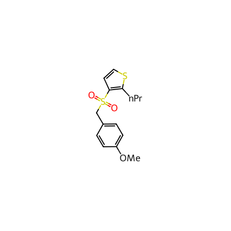 CCCc1sccc1S(=O)(=O)Cc1ccc(OC)cc1